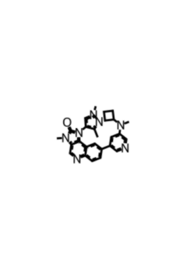 Cc1nn(C)cc1-n1c(=O)n(C)c2cnc3ccc(-c4cncc(N(C)C5CCC5)c4)cc3c21